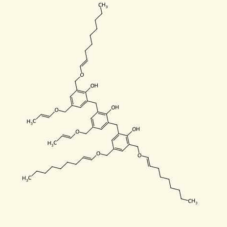 CC=COCc1cc(COC=CCCCCCCC)c(O)c(Cc2cc(COC=CC)cc(Cc3cc(COC=CCCCCCCC)cc(COC=CCCCCCCC)c3O)c2O)c1